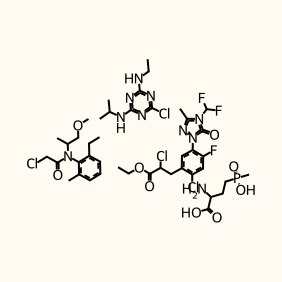 CCNc1nc(Cl)nc(NC(C)C)n1.CCOC(=O)C(Cl)Cc1cc(-n2nc(C)n(C(F)F)c2=O)c(F)cc1Cl.CCc1cccc(C)c1N(C(=O)CCl)C(C)COC.CP(=O)(O)CCC(N)C(=O)O